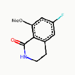 COc1cc(F)cc2c1C(=O)NCC2